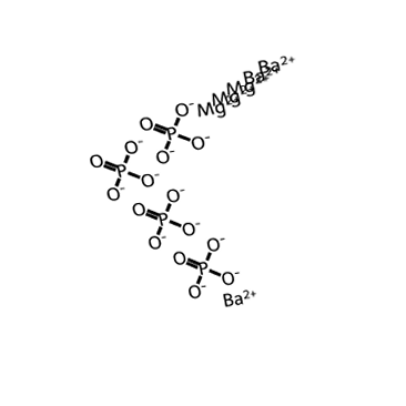 O=P([O-])([O-])[O-].O=P([O-])([O-])[O-].O=P([O-])([O-])[O-].O=P([O-])([O-])[O-].[Ba+2].[Ba+2].[Ba+2].[Mg+2].[Mg+2].[Mg+2]